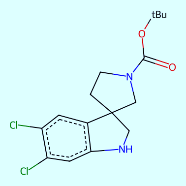 CC(C)(C)OC(=O)N1CCC2(CNc3cc(Cl)c(Cl)cc32)C1